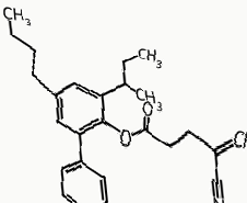 C=C(C#N)CCC(=O)Oc1c(-c2ccccc2)cc(CCCC)cc1C(C)CC